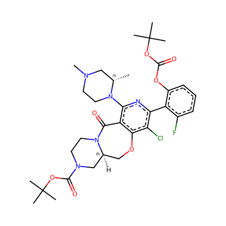 C[C@H]1CN(C)CCN1c1nc(-c2c(F)cccc2OC(=O)OC(C)(C)C)c(Cl)c2c1C(=O)N1CCN(C(=O)OC(C)(C)C)C[C@@H]1CO2